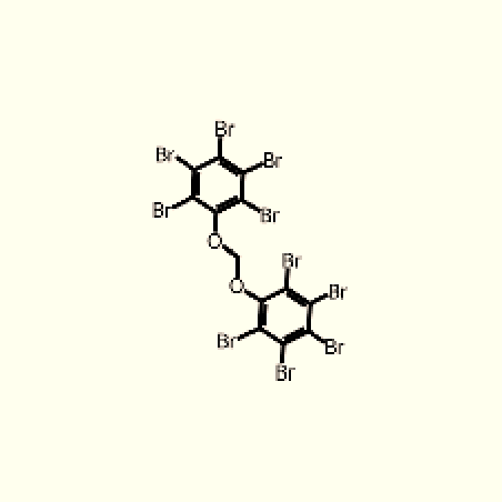 Brc1c(Br)c(Br)c(OCOc2c(Br)c(Br)c(Br)c(Br)c2Br)c(Br)c1Br